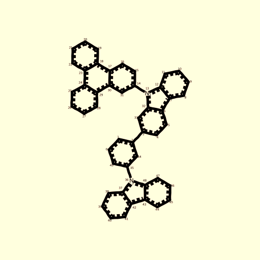 c1cc(-c2ccc3c4ccccc4n(-c4ccc5c6ccccc6c6ccccc6c5c4)c3c2)cc(-n2c3ccccc3c3ccccc32)c1